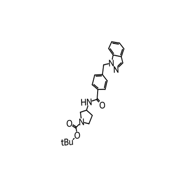 CC(C)(C)OC(=O)N1CCC(NC(=O)c2ccc(Cn3ncc4ccccc43)cc2)C1